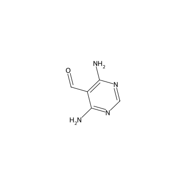 Nc1ncnc(N)c1C=O